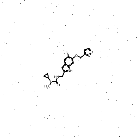 CN(C(=O)NCc1cc2cc(Cl)c(OCc3ccon3)cc2[nH]1)C1CC1